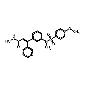 COc1ccc(S(=O)(=O)N(C)c2cccc(C(=CC(=O)NO)c3cccnc3)c2)cc1